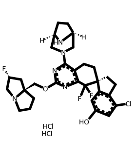 Cl.Cl.Oc1cc(Cl)c2c(c1)[C@]1(CC2)CCc2c(N3C[C@H]4CC[C@@H](C3)N4)nc(OC[C@@]34CCCN3C[C@H](F)C4)nc2C1(F)F